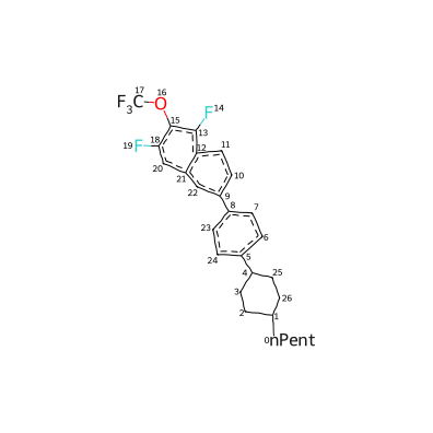 CCCCCC1CCC(c2ccc(-c3ccc4c(F)c(OC(F)(F)F)c(F)cc4c3)cc2)CC1